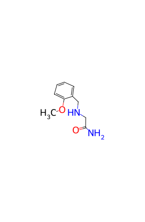 COc1ccccc1CNCC(N)=O